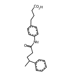 CC(CCC(=O)Nc1ccc(CCCC(=O)O)cc1)c1ccccc1